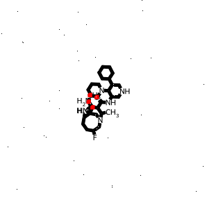 CCCC1(C)CN2CC(F)CCC1NC(N)C(C(=O)NC1CNCC(C3CCCCC3)C1N1CCCCC1)C2C